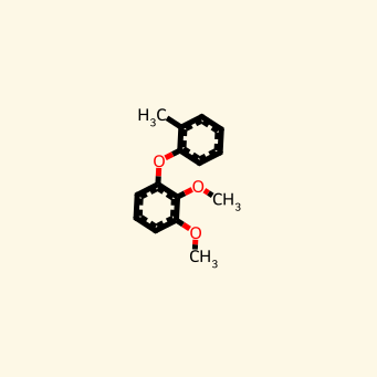 COc1cccc(Oc2ccccc2C)c1OC